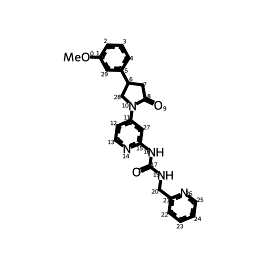 COc1cccc(C2CC(=O)N(c3ccnc(NC(=O)NCc4ccccn4)c3)C2)c1